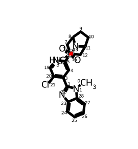 Cn1c(-c2cc(N3CC4CCC(C3)N4S(C)(=O)=O)ncc2Cl)nc2ccccc21